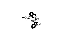 O=C(O)c1cccc2c1CN(C(=O)Nc1c[nH]c3ccccc13)CC2